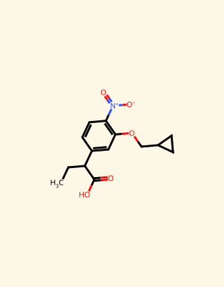 CCC(C(=O)O)c1ccc([N+](=O)[O-])c(OCC2CC2)c1